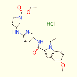 CCOC(=O)N1CCC(Nc2ccc(NC(=O)c3cc4cc(OC)ccc4n3CC)cn2)C1.Cl